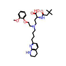 COc1ccccc1OCCN(CCCCc1ccc2c(n1)NCCC2)CCC(NC(=O)CC(C)(C)C)C(=O)O